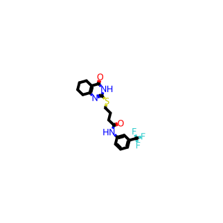 O=C(CCCSc1nc2c(c(=O)[nH]1)CCCC2)Nc1cccc(C(F)(F)F)c1